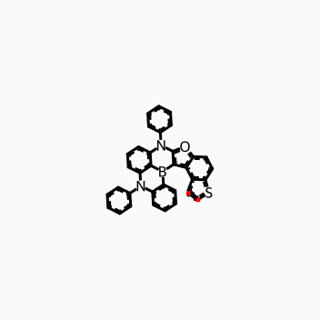 c1ccc(N2c3ccccc3B3c4c2cccc4N(c2ccccc2)c2oc4ccc5sc6ccccc6c5c4c23)cc1